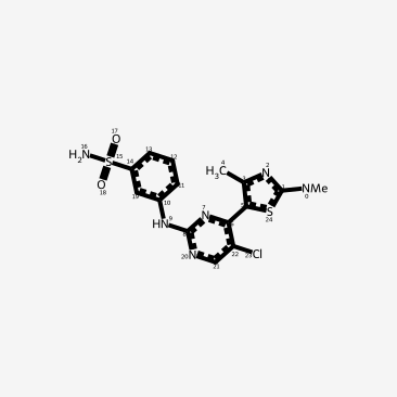 CNc1nc(C)c(-c2nc(Nc3cccc(S(N)(=O)=O)c3)ncc2Cl)s1